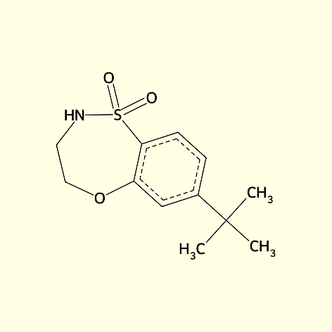 CC(C)(C)c1ccc2c(c1)OCCNS2(=O)=O